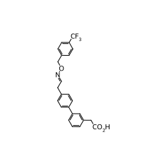 O=C(O)Cc1cccc(-c2ccc(CC=NOCc3ccc(C(F)(F)F)cc3)cc2)c1